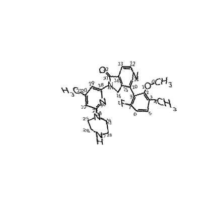 COc1c(C)ccc(F)c1-c1nccc2c1CN(c1cc(C)cc(N3CCNCC3)n1)C2=O